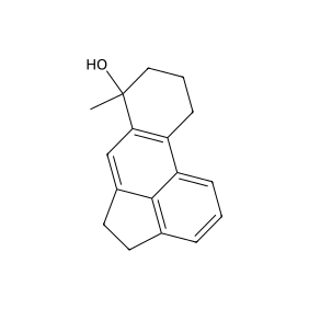 CC1(O)CCCc2c1cc1c3c(cccc23)CC1